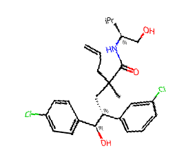 C=CCC(C)(C[C@H](c1cccc(Cl)c1)[C@@H](O)c1ccc(Cl)cc1)C(=O)N[C@H](CO)C(C)C